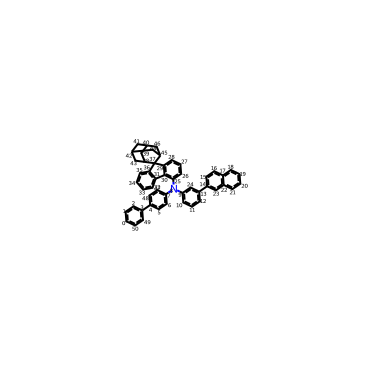 c1ccc(-c2ccc(N(c3cccc(-c4ccc5ccccc5c4)c3)c3cccc4c3-c3ccccc3C43C4CC5CC(C4)CC3C5)cc2)cc1